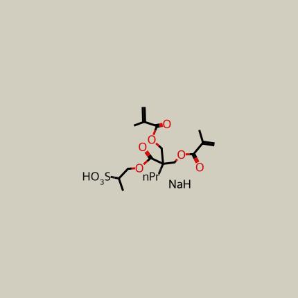 C=C(C)C(=O)OCC(CCC)(COC(=O)C(=C)C)C(=O)OCC(C)S(=O)(=O)O.[NaH]